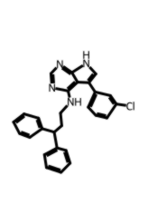 Clc1cccc(-c2c[nH]c3ncnc(NCCC(c4ccccc4)c4ccccc4)c23)c1